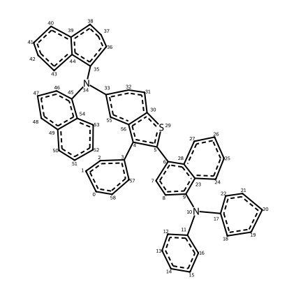 c1ccc(-c2c(-c3ccc(N(c4ccccc4)c4ccccc4)c4ccccc34)sc3ccc(N(c4cccc5ccccc45)c4cccc5ccccc45)cc23)cc1